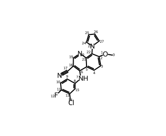 COc1ccc2c(Nc3ccc(F)c(Cl)c3)c(C#N)cnc2c1-n1cccc1